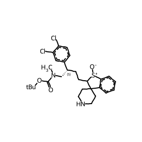 CN(C[C@@H](CCC1[S+]([O-])c2ccccc2C12CCNCC2)c1ccc(Cl)c(Cl)c1)C(=O)OC(C)(C)C